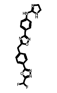 FC(F)c1nnc(-c2ccc(Cc3nc(-c4ccc(NC5=NCCN5)cc4)no3)cc2)o1